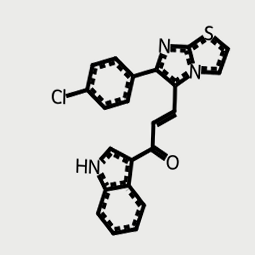 O=C(C=Cc1c(-c2ccc(Cl)cc2)nc2sccn12)c1c[nH]c2ccccc12